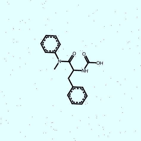 CN(C(=O)C(Cc1ccccc1)NC(=O)O)c1ccccc1